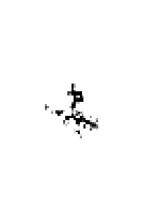 CCOC(=O)c1c(C)c(C(F)(F)C(F)(F)F)nn1CC1CCC1(F)F